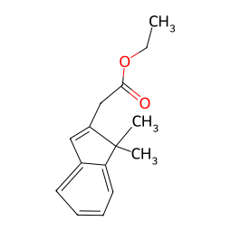 CCOC(=O)CC1=Cc2ccccc2C1(C)C